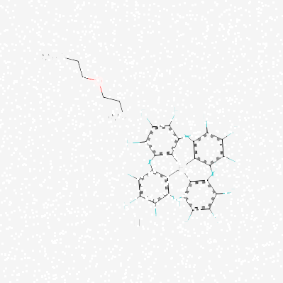 COCCOCCOC.Fc1c(F)c(F)c([B-](c2c(F)c(F)c(F)c(F)c2F)(c2c(F)c(F)c(F)c(F)c2F)c2c(F)c(F)c(F)c(F)c2F)c(F)c1F.[LiH]